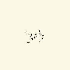 CCC(C)C(=O)OC(C)CN[C@@H](Cc1ccc(OC(=O)OCCC(C)C)c(OC(=O)OCCC(C)C)c1)C(=O)O